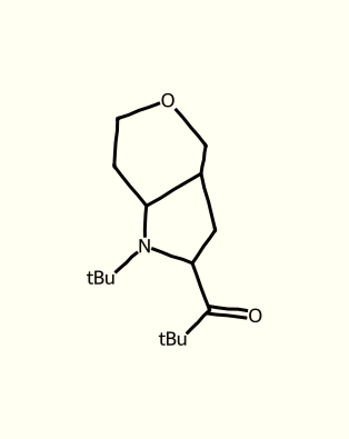 CC(C)(C)C(=O)C1CC2COCCC2N1C(C)(C)C